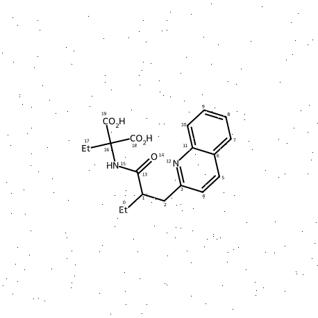 CCC(Cc1ccc2ccccc2n1)C(=O)NC(CC)(C(=O)O)C(=O)O